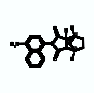 O=C1[C@H]2[C@H]3CC[C@H](C3)N2C(=O)N1c1ccc([N+](=O)[O-])c2ccccc12